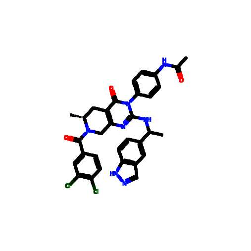 CC(=O)Nc1ccc(-n2c(NC(C)c3ccc4[nH]ncc4c3)nc3c(c2=O)C[C@@H](C)N(C(=O)c2ccc(Cl)c(Cl)c2)C3)cc1